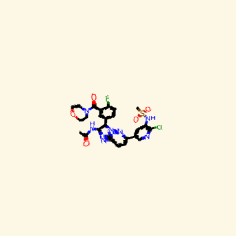 CC(=O)Nc1nc2ccc(-c3cnc(Cl)c(NS(C)(=O)=O)c3)nn2c1-c1ccc(F)c(C(=O)N2CCOCC2)c1